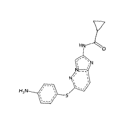 Nc1ccc(Sc2ccc3nc(NC(=O)C4CC4)cn3n2)cc1